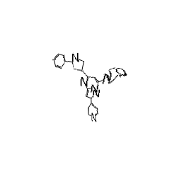 c1ccc(C2=NCC(c3cc(N4CCOCC4)n4nc(-c5ccncc5)cc4n3)C2)cc1